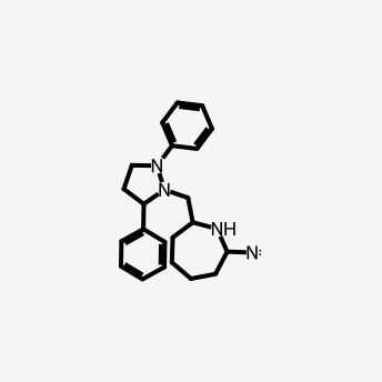 [N]C1CCCCC(CN2C(c3ccccc3)CCN2c2ccccc2)N1